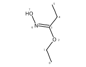 CCOC(CC)=NO